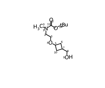 CN(CCOC1CC(CO)C1)C(=O)OC(C)(C)C